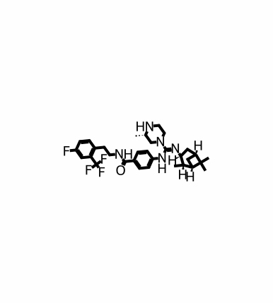 C[C@@H]1[C@@H](/N=C(\Nc2ccc(C(=O)NCCc3ccc(F)cc3C(F)(F)F)cc2)N2CCN[C@@H](C)C2)C[C@H]2C[C@@H]1C2(C)C